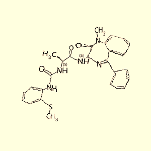 CSc1ccccc1NC(=O)N[C@@H](C)C(=O)N[C@H]1N=C(c2ccccc2)c2ccccc2N(C)C1=O